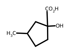 CC1CCC(O)(C(=O)O)C1